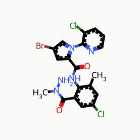 Cc1cc(Cl)cc(C(=O)N(C)N)c1NC(=O)c1cc(Br)cn1-c1ncccc1Cl